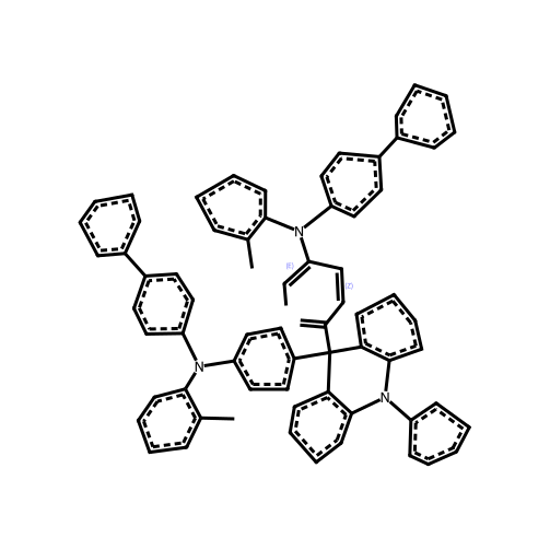 C=C(/C=C\C(=C/C)N(c1ccc(-c2ccccc2)cc1)c1ccccc1C)C1(c2ccc(N(c3ccc(-c4ccccc4)cc3)c3ccccc3C)cc2)c2ccccc2N(c2ccccc2)c2ccccc21